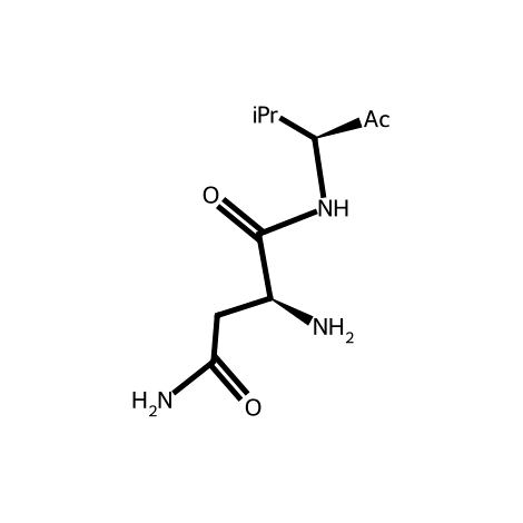 CC(=O)[C@@H](NC(=O)[C@@H](N)CC(N)=O)C(C)C